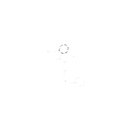 COc1cccc(OC)c1C(C)NCC(O)CP(=O)(O)CC1CCCCC1